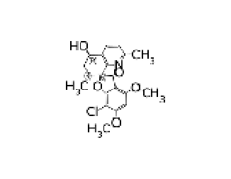 COc1cc(OC)c2c(c1Cl)O[C@]1(C2=O)c2nc(C)ccc2[C@H](O)C[C@H]1C